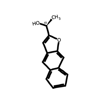 C[C@H](O)c1cc2cc3ccccc3cc2o1